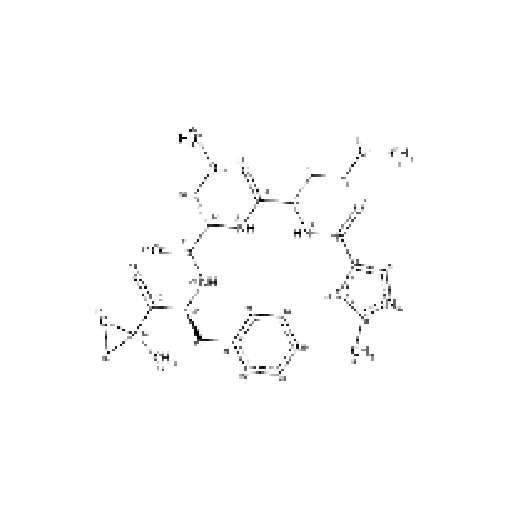 COCC[C@H](NC(=O)c1cnc(C)s1)C(=O)N[C@@H](COC)C(=O)N[C@@H](Cc1ccccc1)C(=O)[C@@]1(C)CO1